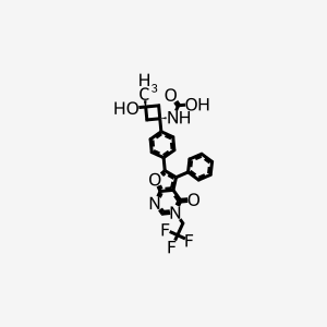 C[C@]1(O)C[C@](NC(=O)O)(c2ccc(-c3oc4ncn(CC(F)(F)F)c(=O)c4c3-c3ccccc3)cc2)C1